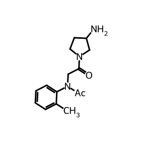 CC(=O)N(CC(=O)N1CCC(N)C1)c1ccccc1C